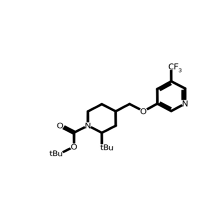 CC(C)(C)OC(=O)N1CCC(COc2cncc(C(F)(F)F)c2)CC1C(C)(C)C